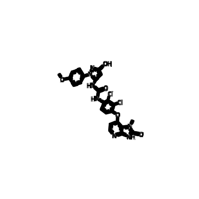 COc1ccc(-n2nc(O)cc2NC(=O)Nc2ccc(Oc3ccnc4[nH]c(=O)n(C)c34)c(Cl)c2Cl)cc1